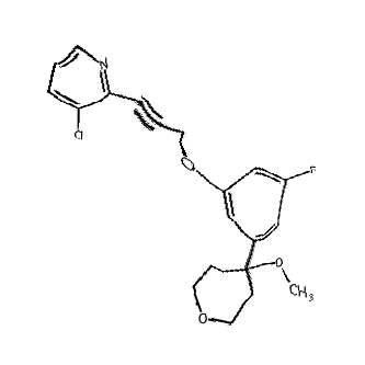 COC1(c2cc(F)cc(OCC#Cc3ncccc3Cl)c2)CCOCC1